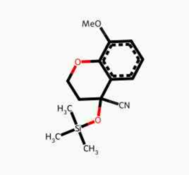 COc1cccc2c1OCCC2(C#N)O[Si](C)(C)C